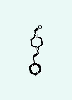 O=CN1CCN(C=Cc2ccccc2)CC1